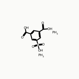 O=C(O)c1cc(C(=O)O)cc(S(=O)(=O)O)c1.P.P